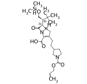 C=CCOC(=O)N1CCC(CCC2=C(C(=O)O)N3C(=O)[C@@H]([C@@H](CO[SiH](C)C)C(C)(C)C)[C@H]3C2)C1